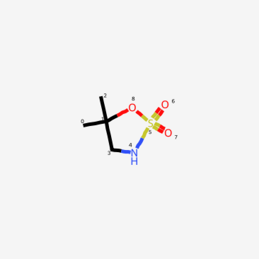 CC1(C)CNS(=O)(=O)O1